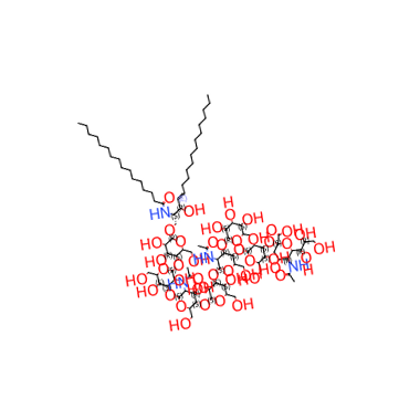 CCCCCCCCCCCCC/C=C/[C@@H](O)[C@H](CO[C@@H]1OC(CO)[C@@H](O[C@@H]2OC(CO)[C@H](O)[C@H](O[C@@H]3OC(CO)[C@@H](O[C@@H]4OC(CO)[C@H](O)[C@H](O[C@@H]5OC(CO)[C@@H](O[C@@H]6OC(CO)[C@H](O)[C@H](O[C@]7(C(=O)O)CC(O)[C@@H](NC(C)=O)C([C@H](O)[C@H](O)CO)O7)C6O)[C@H](O[C@H]6OC(C)[C@@H](O)C(O)[C@@H]6O)C5NC(C)=O)C4O)[C@H](O)C3NC(C)=O)C2O)[C@H](O)C1O)NC(=O)CCCCCCCCCCCCCCC